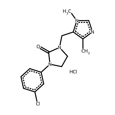 Cc1ncn(C)c1CN1CCN(c2cccc(Cl)c2)C1=O.Cl